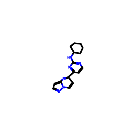 c1cc(-c2ccn3nccc3n2)nc(NC2CCCCC2)n1